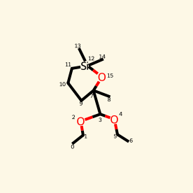 CCOC(OCC)C1(C)CCC[Si](C)(C)O1